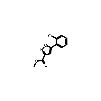 COC(=O)c1cc(-c2ccccc2Cl)on1